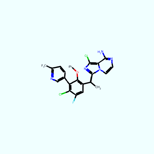 CC(C)Oc1c(C(C)c2nc(Cl)c3c(N)nccn23)cc(F)c(Cl)c1-c1ccc(C(F)(F)F)nc1